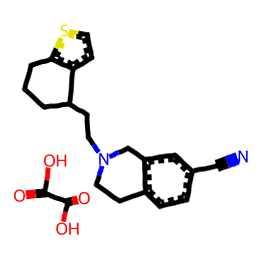 N#Cc1ccc2c(c1)CN(CCC1CCCc3sccc31)CC2.O=C(O)C(=O)O